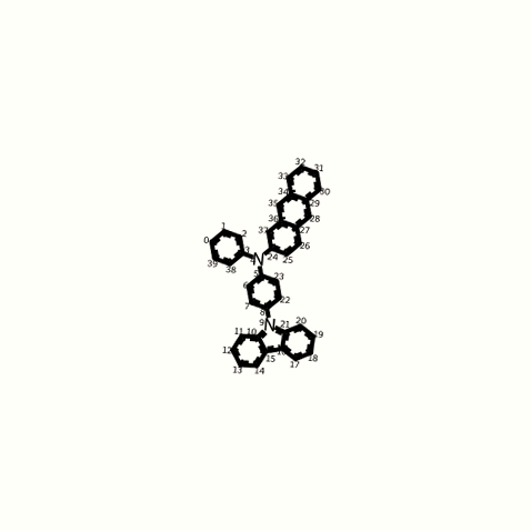 c1ccc(N(c2ccc(-n3c4ccccc4c4ccccc43)cc2)c2ccc3cc4ccccc4cc3c2)cc1